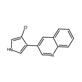 Clc1c[nH]cc1-c1cnc2ccccc2c1